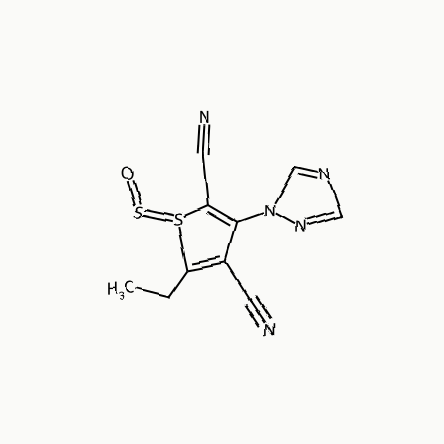 CCC1=C(C#N)C(n2cncn2)=C(C#N)S1=S=O